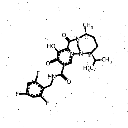 CC(C)[C@@H]1CC[C@H](C)N2CN1n1cc(C(=O)NCc3c(F)cc(F)cc3F)c(=O)c(O)c1C2=O